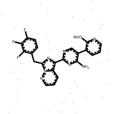 COc1ncccc1-c1cnc(-c2nc(Cc3ccc(F)c(F)c3F)n3ncccc23)nc1N